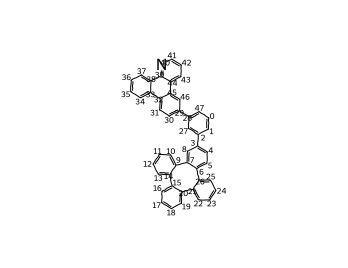 c1cc(-c2ccc3c(c2)-c2ccccc2-c2ccccc2-c2ccccc2-3)cc(-c2ccc3c4ccccc4c4ncccc4c3c2)c1